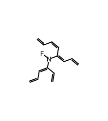 C=C/C=C\C(=C/C=C)N(F)/C(C=C)=C/C=C